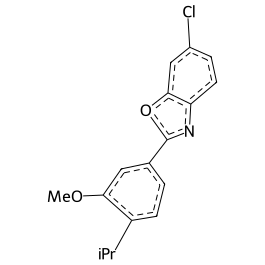 COc1cc(-c2nc3ccc(Cl)cc3o2)ccc1C(C)C